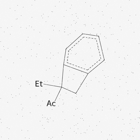 CCC1(C(C)=O)Cc2ccccc21